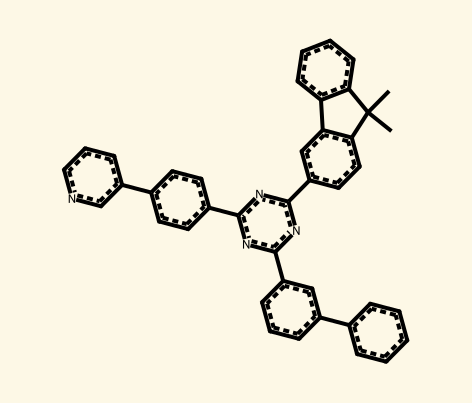 CC1(C)c2ccccc2-c2cc(-c3nc(-c4ccc(-c5cccnc5)cc4)nc(-c4cccc(-c5ccccc5)c4)n3)ccc21